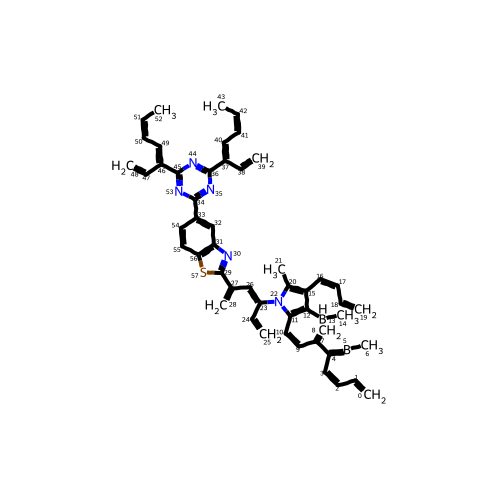 C=C/C=C\C(=B/C)C(=C)/C=C\c1c(BC)c(/C=C\C=C)c(C)n1/C(C=C)=C/C(=C)c1nc2cc(-c3nc(/C(C=C)=C/C=C\C)nc(/C(C=C)=C/C=C\C)n3)ccc2s1